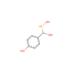 OPC(O)c1ccc(O)cc1